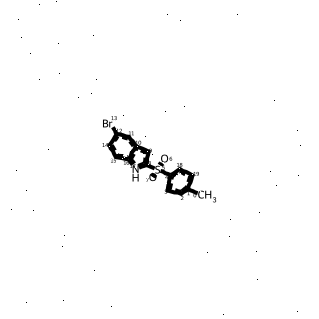 Cc1ccc(S(=O)(=O)c2cc3cc(Br)ccc3[nH]2)cc1